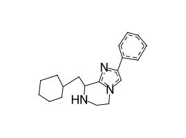 c1ccc(-c2cn3c(n2)C(CC2CCCCC2)NCC3)cc1